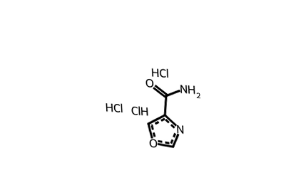 Cl.Cl.Cl.NC(=O)c1cocn1